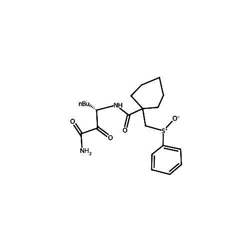 CCCC[C@H](NC(=O)C1(C[S+]([O-])c2ccccc2)CCCCC1)C(=O)C(N)=O